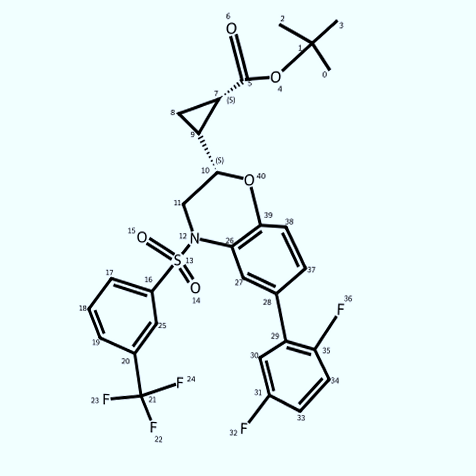 CC(C)(C)OC(=O)[C@H]1CC1[C@H]1CN(S(=O)(=O)c2cccc(C(F)(F)F)c2)c2cc(-c3cc(F)ccc3F)ccc2O1